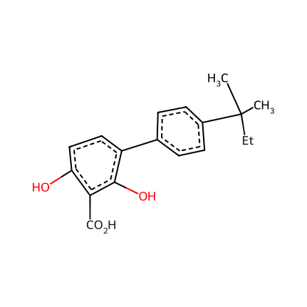 CCC(C)(C)c1ccc(-c2ccc(O)c(C(=O)O)c2O)cc1